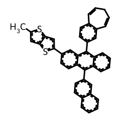 Cc1cc2sc(-c3ccc4c(-c5ccc6ccccc6c5)c5ccccc5c(-c5ccc6c(c5)C=CCC=C6)c4c3)cc2s1